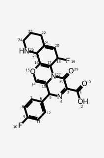 O=C(O)C1=NC(c2ccc(F)cc2)C2=COC3=C(C(F)C=C4CCCNC43)N2C1=O